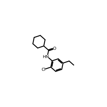 CCc1ccc(Cl)c(NC(=O)C2CCCCC2)c1